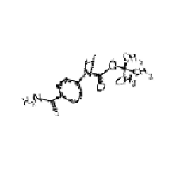 CC(C)(C)OC(=O)Nc1ccc(C(N)=S)cc1